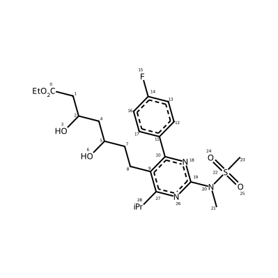 CCOC(=O)CC(O)CC(O)CCc1c(-c2ccc(F)cc2)nc(N(C)S(C)(=O)=O)nc1C(C)C